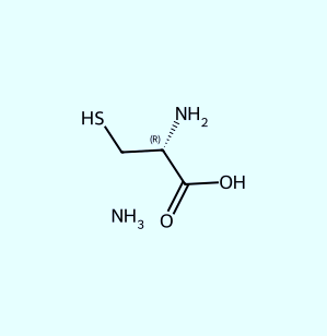 N.N[C@@H](CS)C(=O)O